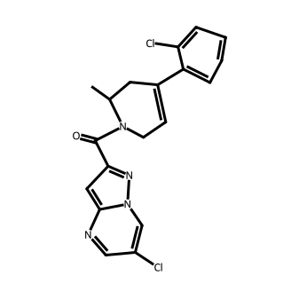 CC1CC(c2ccccc2Cl)=CCN1C(=O)c1cc2ncc(Cl)cn2n1